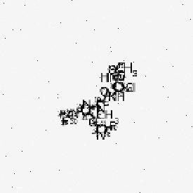 Cn1cc(C(=O)Nc2cc(Cl)cc(NS(C)(=O)=O)c2)cc1-c1ncc(N2CC(F)(F)C2)cc1COc1cncc(F)c1